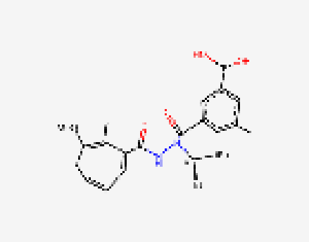 CC[C@@H](N(NC(=O)C1=CC=CCC(OC)=C1C)C(=O)c1cc(C)cc(B(O)O)c1)C(C)(C)C